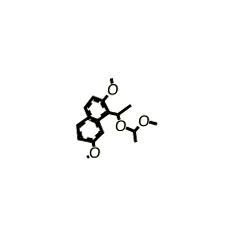 COc1ccc2ccc(OC)c(C(C)OC(C)OC)c2c1